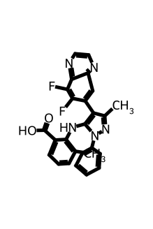 Cc1cccc(C(=O)O)c1Nc1c(-c2cc3nccnc3c(F)c2F)c(C)nn1-c1ccccc1